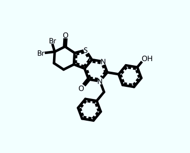 O=C1c2sc3nc(-c4cccc(O)c4)n(Cc4ccccc4)c(=O)c3c2CCC1(Br)Br